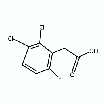 O=C(O)Cc1c(F)ccc(Cl)c1Cl